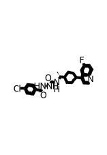 C[C@@H](NC(=O)NNC(=O)c1ccc(Cl)cc1)C1CCC(c2ccnc3ccc(F)cc23)CC1